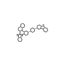 c1ccc2c(c1)ccc1c2c2cc(-c3ccc(-c4ccc5sc6ccccc6c5c4)cc3)ccc2n2c3ccccc3nc12